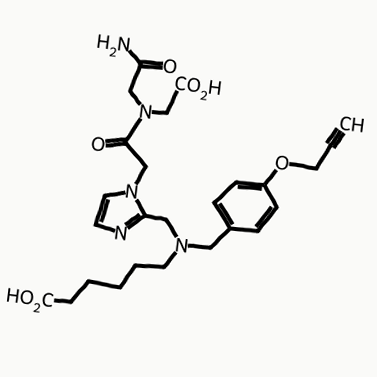 C#CCOc1ccc(CN(CCCCCC(=O)O)Cc2nccn2CC(=O)N(CC(N)=O)CC(=O)O)cc1